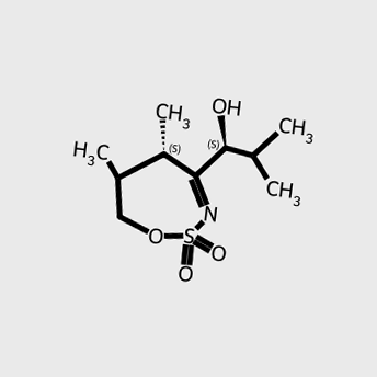 CC1COS(=O)(=O)N=C([C@@H](O)C(C)C)[C@H]1C